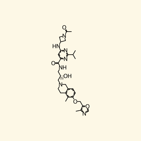 CC(=O)N1CC(Nc2cc(C(=O)NC[C@H](O)CN3CCc4c(ccc(OCc5ocnc5C)c4C)C3)nc(C(C)C)n2)C1